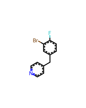 Fc1ccc(Cc2ccncc2)cc1Br